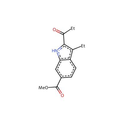 CCC(=O)c1[nH]c2cc(C(=O)OC)ccc2c1CC